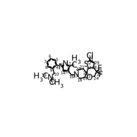 Cc1nn(-c2ccccc2CN(C)C)cc1CN1CCC2(CC1)OCC(F)(F)C1C=C(Cl)SC12